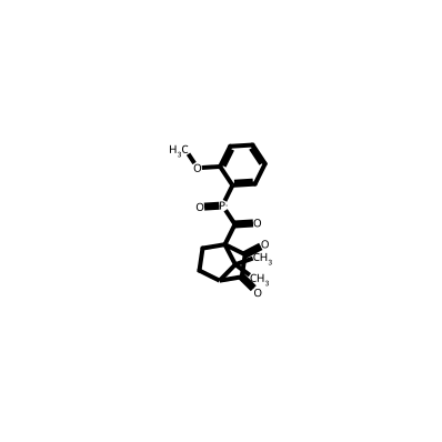 COc1ccccc1[P](=O)C(=O)C12CCC(C(=O)C1=O)C2(C)C